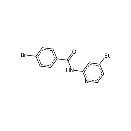 CCc1ccnc(NC(=O)c2ccc(Br)cc2)c1